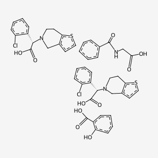 O=C(O)CNC(=O)c1ccccc1.O=C(O)[C@H](c1ccccc1Cl)N1CCc2sccc2C1.O=C(O)[C@H](c1ccccc1Cl)N1CCc2sccc2C1.O=C(O)c1ccccc1O